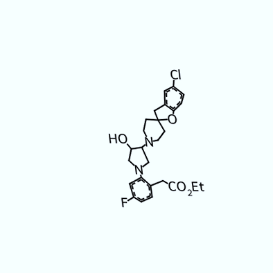 CCOC(=O)Cc1ccc(F)cc1N1CC(O)C(N2CCC3(CC2)Cc2cc(Cl)ccc2O3)C1